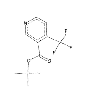 CC(C)(C)OC(=O)c1cnccc1C(F)(F)F